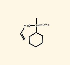 C=CC.CO[Si](C)(OC)C1CCCCC1